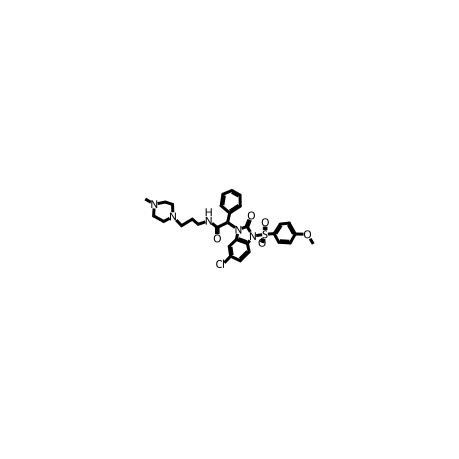 COc1ccc(S(=O)(=O)n2c(=O)n(C(C(=O)NCCCN3CCN(C)CC3)c3ccccc3)c3cc(Cl)ccc32)cc1